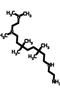 CN(C)CCN(C)CCC(C)(C)CCC(C)(C)CCNCCN